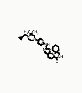 CC1(C)CN(c2ccc(Nc3ncc4c(n3)N3C(C=C4)C(=O)NCC34CCCCC4)nc2)CCN1CC1CC1